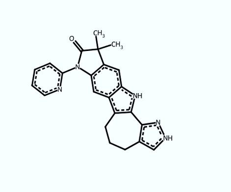 CC1(C)C(=O)N(c2ccccn2)c2cc3c4c([nH]c3cc21)-c1n[nH]cc1CCC4